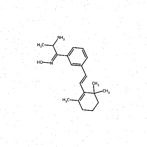 CC1=C(C=Cc2cccc(C(=NO)C(C)N)c2)C(C)(C)CCC1